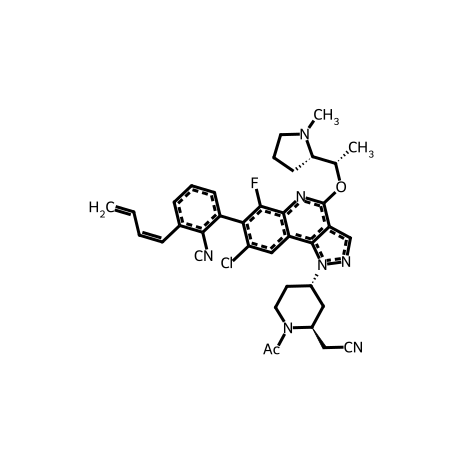 C=C/C=C\c1cccc(-c2c(Cl)cc3c(nc(O[C@@H](C)[C@@H]4CCCN4C)c4cnn([C@H]5CCN(C(C)=O)[C@H](CC#N)C5)c43)c2F)c1C#N